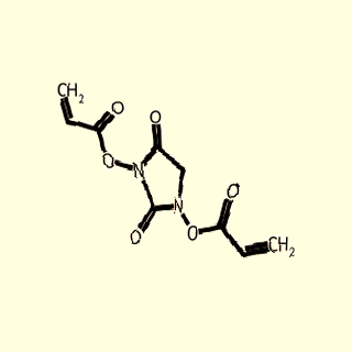 C=CC(=O)ON1CC(=O)N(OC(=O)C=C)C1=O